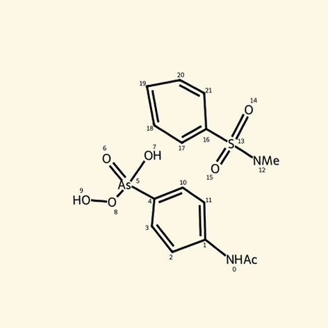 CC(=O)Nc1ccc([As](=O)(O)OO)cc1.CNS(=O)(=O)c1ccccc1